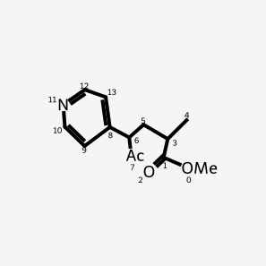 COC(=O)C(C)CC(C(C)=O)c1ccncc1